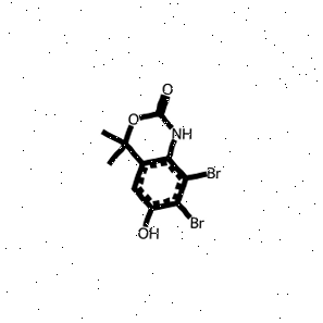 CC1(C)OC(=O)Nc2c1cc(O)c(Br)c2Br